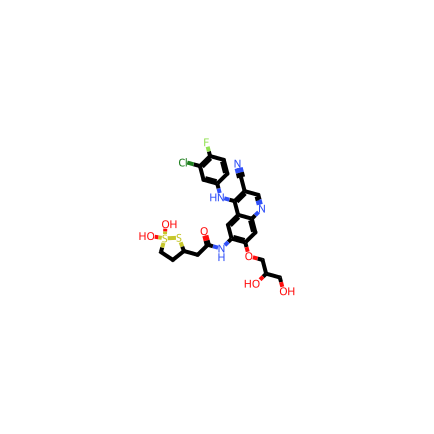 N#Cc1cnc2cc(OCC(O)CO)c(NC(=O)CC3CCS(O)(O)S3)cc2c1Nc1ccc(F)c(Cl)c1